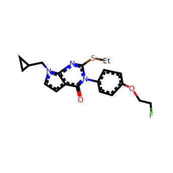 CCSc1nc2c(ccn2CC2CC2)c(=O)n1-c1ccc(OCCF)cc1